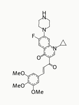 COc1cc(/C=C/C(=O)c2cn(C3CC3)c3cc(N4CCNCC4)c(F)cc3c2=O)cc(OC)c1OC